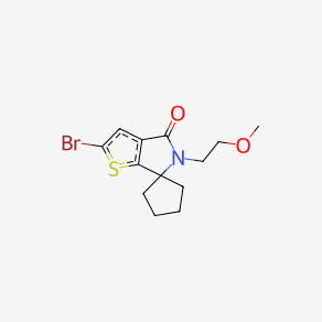 COCCN1C(=O)c2cc(Br)sc2C12CCCC2